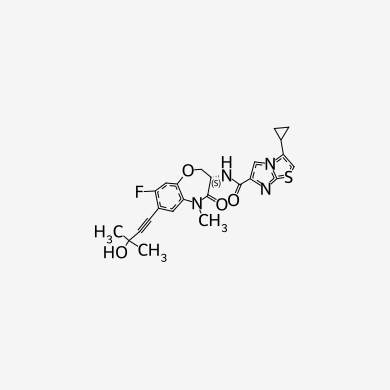 CN1C(=O)[C@@H](NC(=O)c2cn3c(C4CC4)csc3n2)COc2cc(F)c(C#CC(C)(C)O)cc21